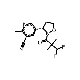 Cc1ncc([C@@H]2CCON2C(=O)C(C)(C)C(F)F)cc1C#N